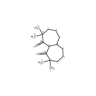 CC1(C)CCCC2CCCC(C)(C)C(=O)C2C1=O